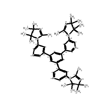 CC1=NC(C)(C)C(C)(C)N1c1cncc(-c2cc(-c3cncc(N4C(C)=NC(C)(C)C4(C)C)c3)cc(-c3cncc(N4C(C)=NC(C)(C)C4(C)C)c3)c2)c1